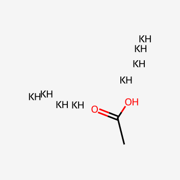 CC(=O)O.[KH].[KH].[KH].[KH].[KH].[KH].[KH].[KH]